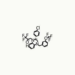 O[C@H](CN1c2ccccc2N(Cc2cccc(OC(F)(F)F)c2)C[C@H]1c1ccc(Cl)cc1)C(F)(F)F